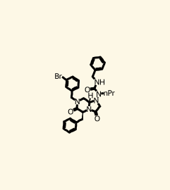 CCCN(C(=O)NCc1ccccc1)N1CC(=O)N2[C@@H](Cc3ccccc3)C(=O)N(Cc3cccc(Br)c3)C[C@@H]21